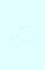 CC(C)C1=[C]CC=C1C(C)C